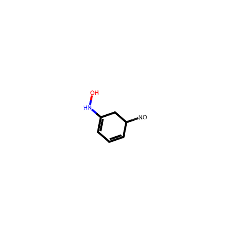 O=NC1C=CC=C(NO)C1